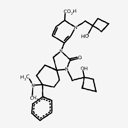 CN(C)C1(c2ccccc2)CCC2(CC1)CN(C1=CN(CC3(O)CCC3)C(C(=O)O)C=C1)C(=O)N2CC1(O)CCC1